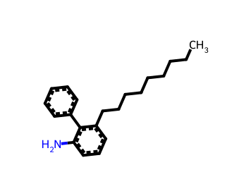 CCCCCCCCCc1cccc(N)c1-c1ccccc1